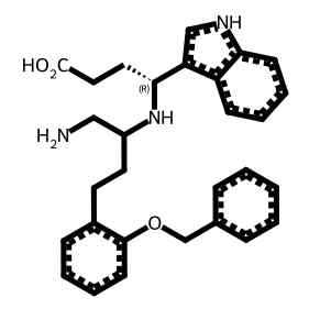 NCC(CCc1ccccc1OCc1ccccc1)N[C@H](CCC(=O)O)c1c[nH]c2ccccc12